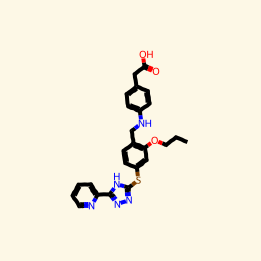 CCCOc1cc(Sc2nnc(-c3ccccn3)[nH]2)ccc1CNc1ccc(CC(=O)O)cc1